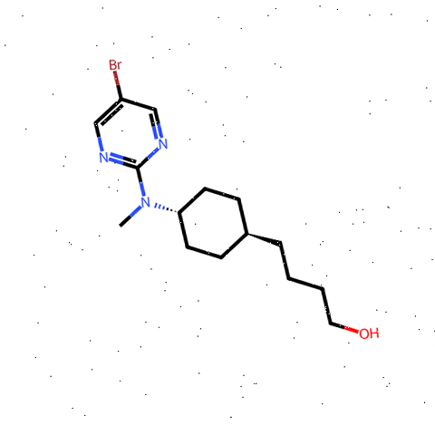 CN(c1ncc(Br)cn1)[C@H]1CC[C@H](CCCCO)CC1